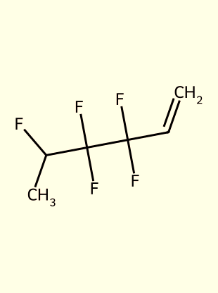 C=CC(F)(F)C(F)(F)C(C)F